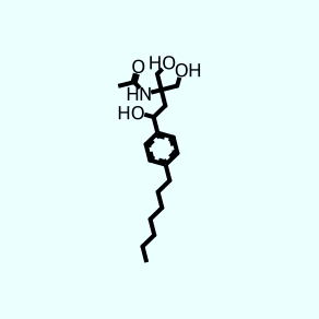 CCCCCCCc1ccc(C(O)CC(CO)(CO)NC(C)=O)cc1